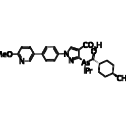 COc1ccc(-c2ccc(-n3cc(C(=O)O)c([As](C(=O)[C@H]4CC[C@H](C)CC4)C(C)C)n3)cc2)cn1